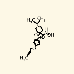 CC#CCOc1ccc(S(=O)(=O)C2(C(=O)NO)CCN(C(CC)CC)CC2)cc1